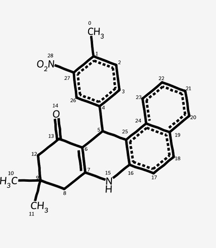 Cc1ccc(C2C3=C(CC(C)(C)CC3=O)Nc3ccc4ccccc4c32)cc1[N+](=O)[O-]